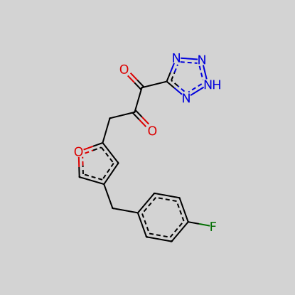 O=C(Cc1cc(Cc2ccc(F)cc2)co1)C(=O)c1nn[nH]n1